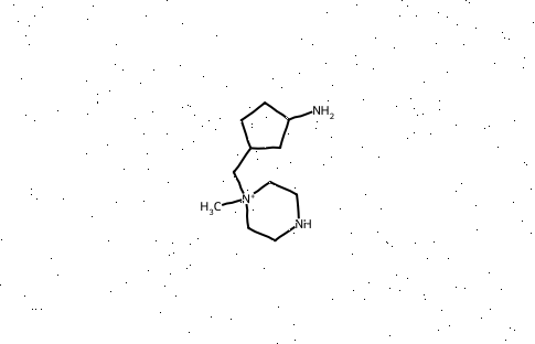 C[N+]1(CC2CCC(N)C2)CCNCC1